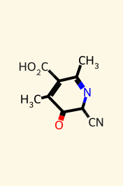 CC1=NC(C#N)C(=O)C(C)=C1C(=O)O